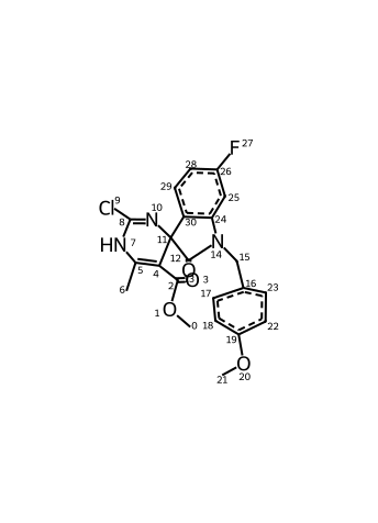 COC(=O)C1=C(C)NC(Cl)=NC12C(=O)N(Cc1ccc(OC)cc1)c1cc(F)ccc12